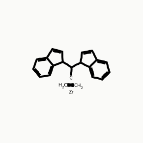 C=C.ClC(C1C=Cc2ccccc21)C1C=Cc2ccccc21.[Zr]